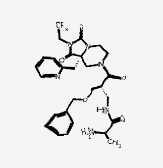 CC(N)C(=O)NC[C@H](COCc1ccccc1)C(=O)N1CCN2C(=O)N(CC(F)(F)F)C(=O)[C@]2(Cc2ccccn2)C1